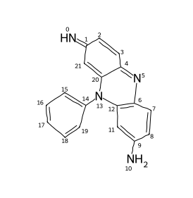 N=c1ccc2nc3ccc(N)cc3n(-c3ccccc3)c-2c1